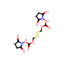 O=C(OCSSCOC(=O)ON1C(=O)CCC1=O)ON1C(=O)CCC1=O